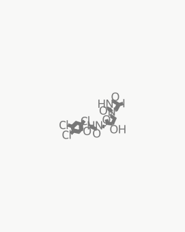 C[C@H](Oc1cc(Cl)c(Cl)cc1Cl)C(=O)NC[C@@H]1O[C@H](n2cc(I)c(=O)[nH]c2=O)CC1O